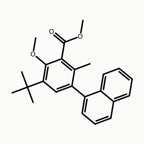 COC(=O)c1c(C)c(-c2cccc3ccccc23)cc(C(C)(C)C)c1OC